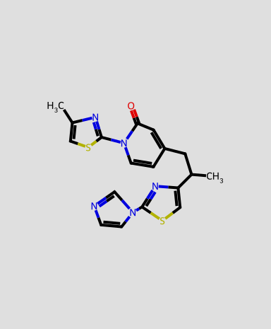 Cc1csc(-n2ccc(CC(C)c3csc(-n4ccnc4)n3)cc2=O)n1